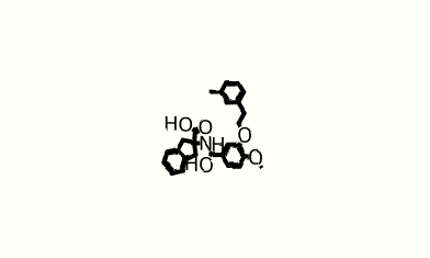 COc1ccc(C(O)NC2(C(=O)O)Cc3ccccc3C2)cc1OCCc1cccc(C)c1